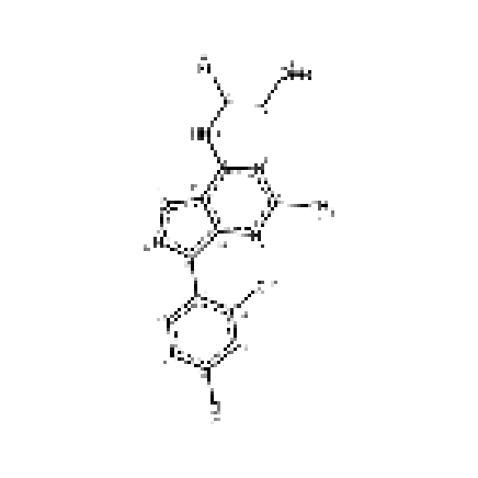 CCC(COC)Nc1nc(C)nc2c(-c3ccc(Cl)cc3Cl)noc12